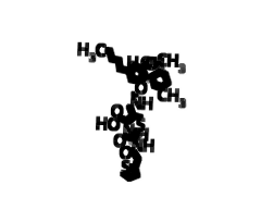 C=C(C)[C@@H]1CCC(C)=C[C@H]1c1c(O)cc(CCCCC)cc1OCNCC1=C(C(=O)O)N2C(=O)[C@@H](NC(=O)Cc3cccs3)[C@H]2SC1